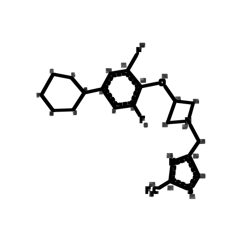 Fc1cc(C2CCCCC2)cc(F)c1OC1CN(Cc2csc(C(F)(F)F)n2)C1